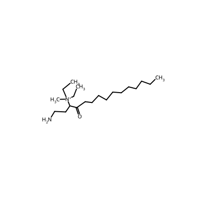 CCCCCCCCCCCC(=O)C(CCN)[N+](C)(CC)CC